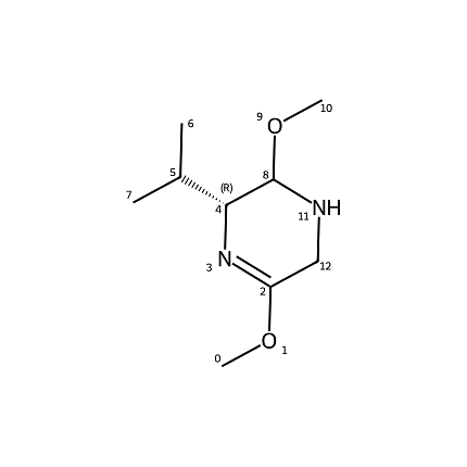 COC1=N[C@H](C(C)C)C(OC)NC1